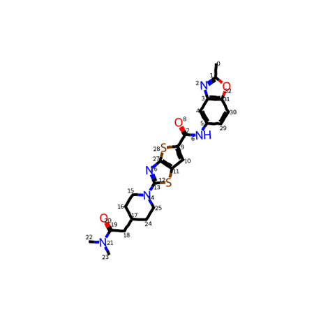 Cc1nc2cc(NC(=O)c3cc4sc(N5CCC(CC(=O)N(C)C)CC5)nc4s3)ccc2o1